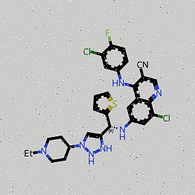 CCN1CCC(N2C=C([C@@H](Nc3cc(Cl)c4ncc(C#N)c(Nc5ccc(F)c(Cl)c5)c4c3)c3cccs3)NN2)CC1